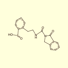 O=C(NCCc1ccccc1S(=O)O)N1Cc2ccccc2C1=O